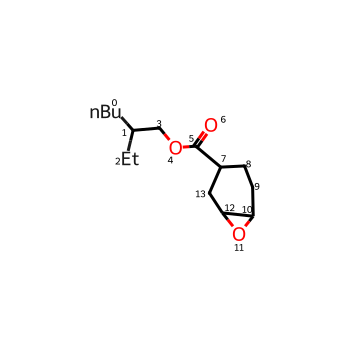 CCCCC(CC)COC(=O)C1CCC2OC2C1